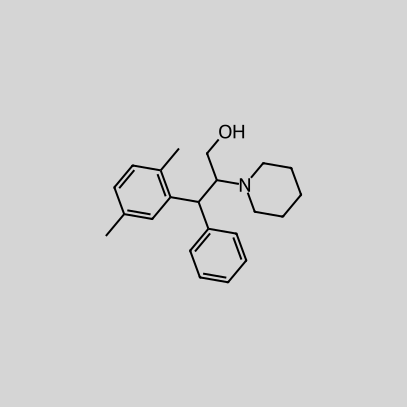 Cc1ccc(C)c(C(c2ccccc2)C(CO)N2CCCCC2)c1